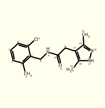 Cc1cccc(Cl)c1CNC(=O)Cc1c(C)n[nH]c1C